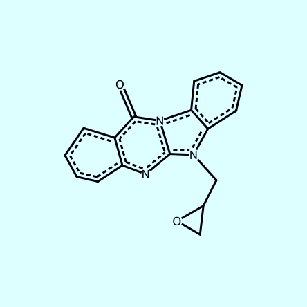 O=c1c2ccccc2nc2n(CC3CO3)c3ccccc3n12